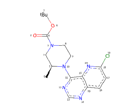 C[C@H]1CN(C(=O)OC(C)(C)C)CCN1c1ncnc2ccc(Cl)nc12